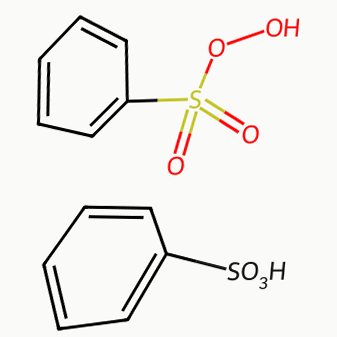 O=S(=O)(O)c1ccccc1.O=S(=O)(OO)c1ccccc1